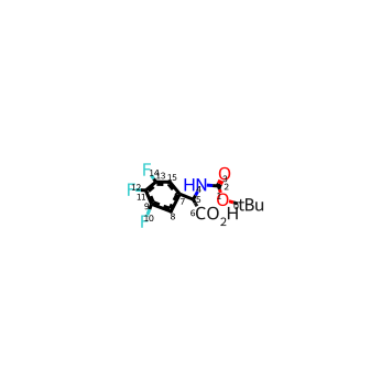 CC(C)(C)OC(=O)NC(C(=O)O)c1cc(F)c(F)c(F)c1